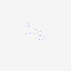 CCc1cc(F)cc(C(=O)Nc2cc(-c3cnc(N4CCOCC4)nc3)c(F)cc2N2C[C@@H](C)N(C)[C@@H](C)C2)c1